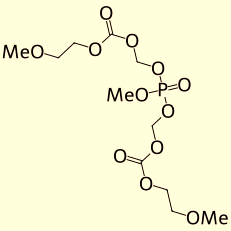 COCCOC(=O)OCOP(=O)(OC)OCOC(=O)OCCOC